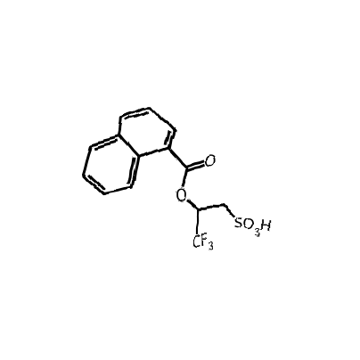 O=C(OC(CS(=O)(=O)O)C(F)(F)F)c1cccc2ccccc12